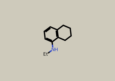 CCNc1cccc2c1CCCC2